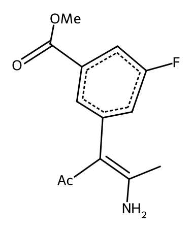 COC(=O)c1cc(F)cc(/C(C(C)=O)=C(\C)N)c1